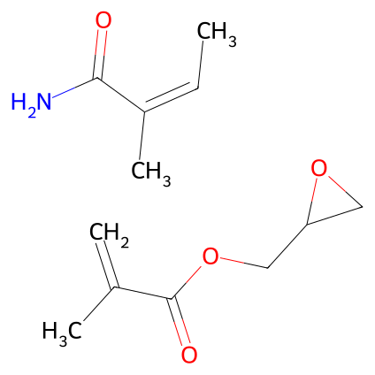 C=C(C)C(=O)OCC1CO1.CC=C(C)C(N)=O